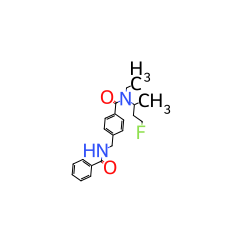 CCN(C(=O)c1ccc(CNC(=O)c2ccccc2)cc1)C(C)CCF